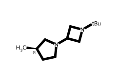 C[C@@H]1CCN(C2CN(C(C)(C)C)C2)C1